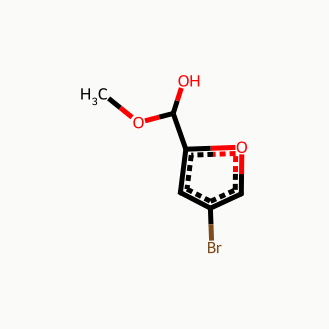 COC(O)c1cc(Br)co1